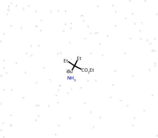 CCOC(=O)C(CC)(CC)C(C)CC.N